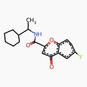 CC(NC(=O)c1cc(=O)c2cc(F)ccc2o1)C1CCCCC1